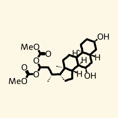 COC(=O)OC(C[C@@H](C)[C@H]1CC[C@H]2[C@@H]3[C@H](O)C[C@H]4C[C@H](O)CC[C@]4(C)[C@H]3CC[C@]12C)OC(=O)OC